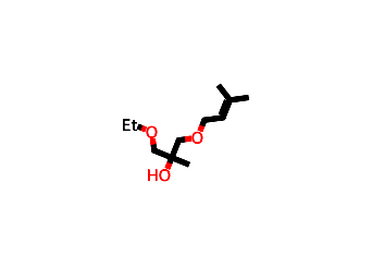 CCOCC(C)(O)COCC=C(C)C